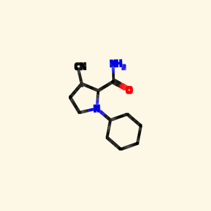 N#C[C]1CCN(C2CCCCC2)C1C(N)=O